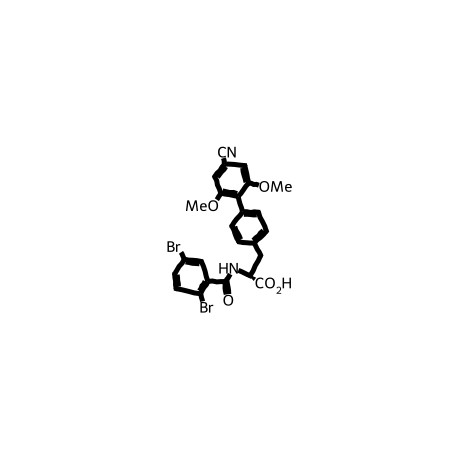 COc1cc(C#N)cc(OC)c1-c1ccc(C[C@H](NC(=O)c2cc(Br)ccc2Br)C(=O)O)cc1